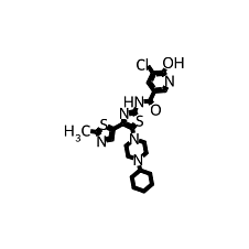 Cc1ncc(-c2nc(NC(=O)c3cnc(O)c(Cl)c3)sc2N2CCN(C3CCCCC3)CC2)s1